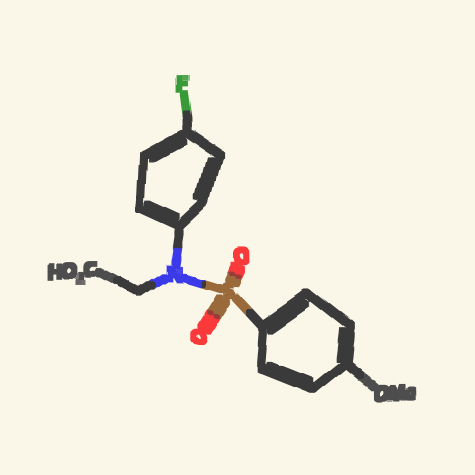 COc1ccc(S(=O)(=O)N(CC(=O)O)c2ccc(F)cc2)cc1